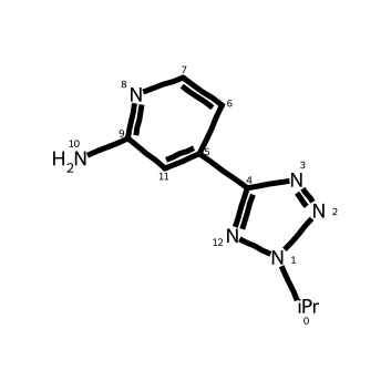 CC(C)n1nnc(-c2ccnc(N)c2)n1